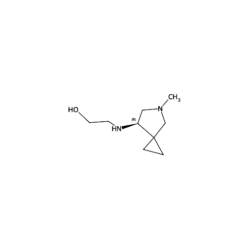 CN1C[C@H](NCCO)C2(CC2)C1